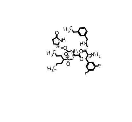 CCCC(CCC)S(=O)(=O)C[C@H](NC(=O)OC[C@@H]1CCC(=O)N1)C(=O)O[C@H](CNCc1cccc(CC)c1)[C@@H](N)Cc1cc(F)cc(F)c1